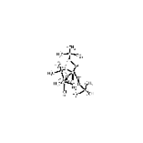 C[Si](C)(C)O[O][Ti](=[O])([O]O[Si](C)(C)C)([O][Si](C)(C)C)[O][Si](C)(C)C